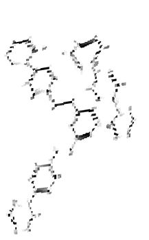 c1ccc(-c2ccc(CCc3cc(CCc4ccc(-c5ccccn5)cc4)cc(-c4ccccc4-c4ccc(-c5ccccn5)cc4)c3)cc2)nc1